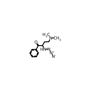 CN(C)CCC(NN=[N+]=[N-])C(=O)c1ccccc1